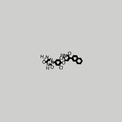 Nc1nn(-c2cc(Cl)c(Oc3cc(-c4ccc5c(c4)CCCC5)c(=O)[nH]n3)c(Cl)c2)c(=O)[nH]c1=O